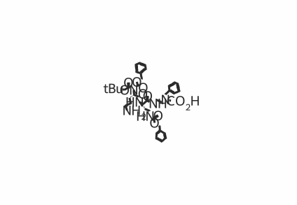 CC(C)(C)OC(=O)N(C(=O)OCc1ccccc1)[C@@H](CCCN)C(=O)N[C@@H](CCNC(=O)OCc1ccccc1)C(=O)NCCN(Cc1ccccc1)C(=O)O